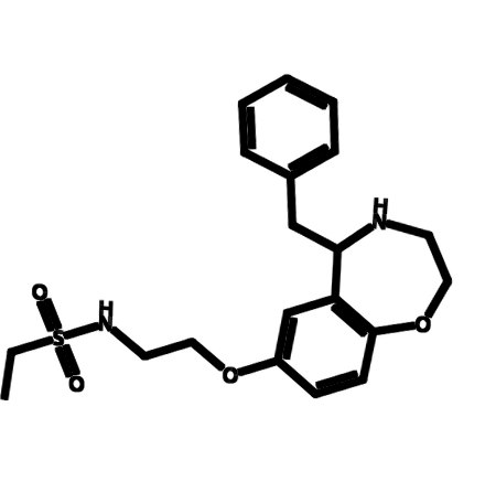 CCS(=O)(=O)NCCOc1ccc2c(c1)C(Cc1ccccc1)NCCO2